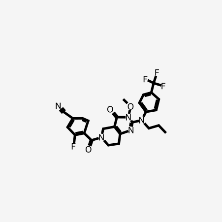 CCCN(c1ccc(C(F)(F)F)cc1)c1nc2c(c(=O)n1OC)CN(C(=O)c1ccc(C#N)cc1F)CC2